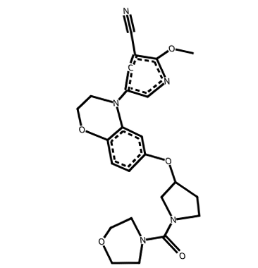 COc1ncc(N2CCOc3ccc(OC4CCN(C(=O)N5CCOCC5)C4)cc32)cc1C#N